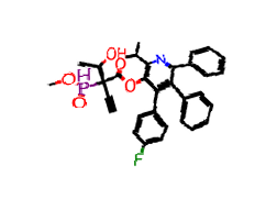 C#CC(C(=O)Oc1c(C(C)C)nc(-c2ccccc2)c(-c2ccccc2)c1-c1ccc(F)cc1)(C(C)O)[PH](=O)OC